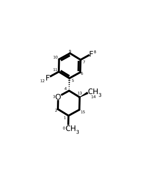 CC1CO[C@H](c2cc(F)ccc2F)[C@@H](C)C1